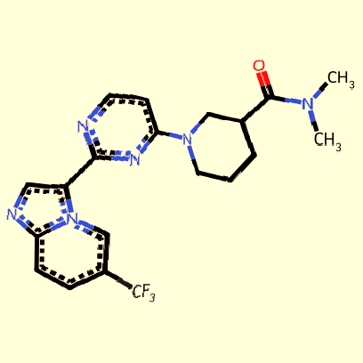 CN(C)C(=O)C1CCCN(c2ccnc(-c3cnc4ccc(C(F)(F)F)cn34)n2)C1